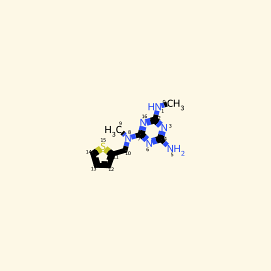 CNc1nc(N)nc(N(C)Cc2cccs2)n1